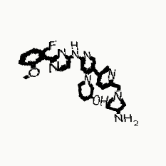 COc1cccc(F)c1-c1nccc(Nc2cc(N3CCC[C@H](O)C3)c(-c3ccc(CN4CCC(N)CC4)nc3)cn2)n1